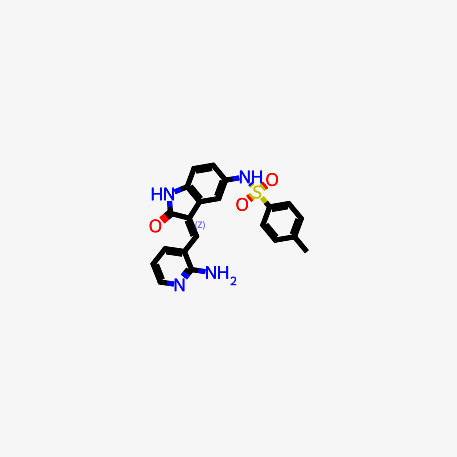 Cc1ccc(S(=O)(=O)Nc2ccc3c(c2)/C(=C/c2cccnc2N)C(=O)N3)cc1